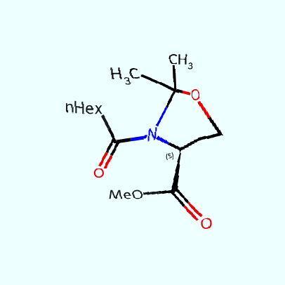 CCCCCCC(=O)N1[C@H](C(=O)OC)COC1(C)C